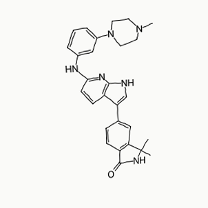 CN1CCN(c2cccc(Nc3ccc4c(-c5ccc6c(c5)C(C)(C)NC6=O)c[nH]c4n3)c2)CC1